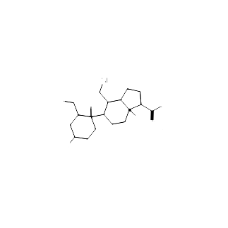 C=C(C)C1CCC2C(CN)C(C3(C)CCC(O)CC3CO)CCC12C